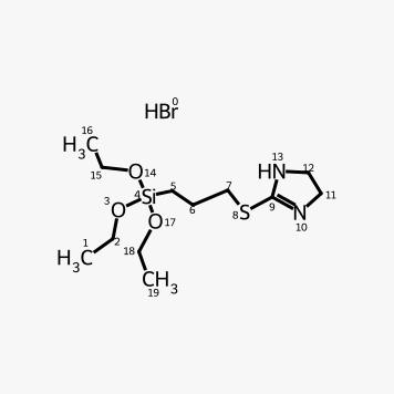 Br.CCO[Si](CCCSC1=NCCN1)(OCC)OCC